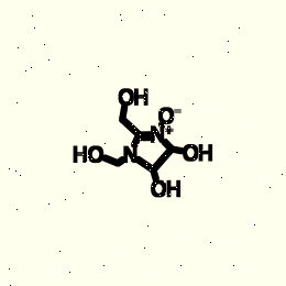 [O-][N+]1=C(CO)N(CO)C(O)C1O